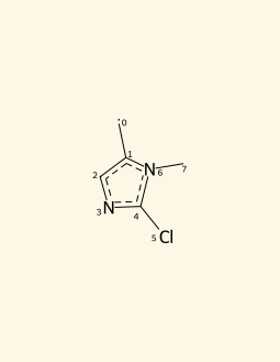 [CH2]c1cnc(Cl)n1C